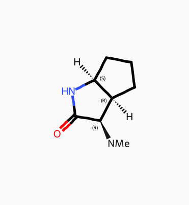 CN[C@H]1C(=O)N[C@H]2CCC[C@H]21